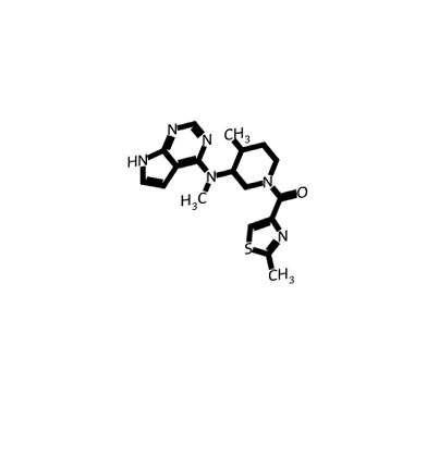 Cc1nc(C(=O)N2CCC(C)C(N(C)c3ncnc4[nH]ccc34)C2)cs1